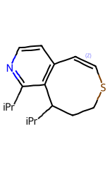 CC(C)c1nccc2c1C(C(C)C)CCS/C=C\2